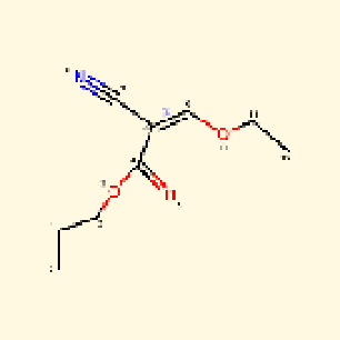 CCCOC(=O)/C(C#N)=C\OCC